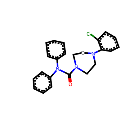 O=C(N1CCN(c2ccccc2Cl)CC1)N(c1ccccc1)c1ccccc1